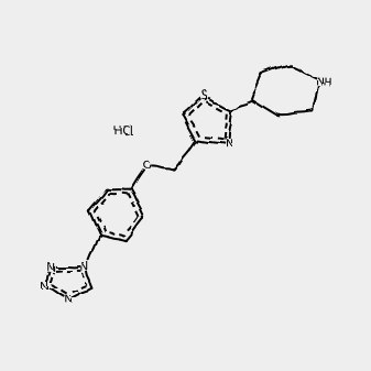 Cl.c1cc(-n2cnnn2)ccc1OCc1csc(C2CCNCC2)n1